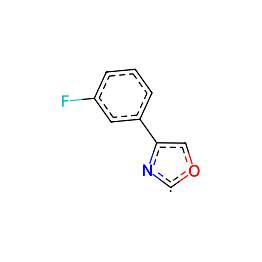 Fc1cccc(-c2co[c]n2)c1